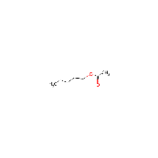 [CH2]CCCCOC(C)=O